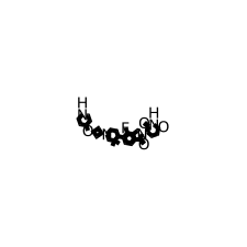 CC1(C)CN([C@H]2C[C@H](OC3CCNCC3)C2)CCC1c1ccc2c(c1F)CN(C1CCC(=O)NC1=O)C2=O